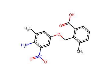 Cc1cc(OCc2c(C)cccc2C(=O)O)cc([N+](=O)[O-])c1N